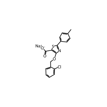 Cc1ccc(-c2nc(OCc3ccccc3Cl)c(C(=O)[O-])s2)cc1.[Na+]